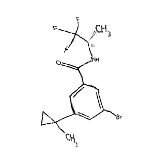 C[C@H](NC(=O)c1cc(Br)cc(C2(C)CC2)c1)C(F)(F)F